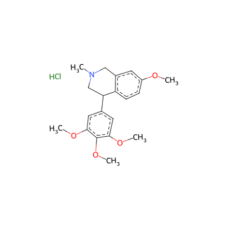 COc1ccc2c(c1)CN(C)CC2c1cc(OC)c(OC)c(OC)c1.Cl